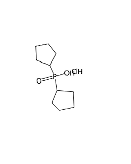 Cl.O=P(O)(C1CCCC1)C1CCCC1